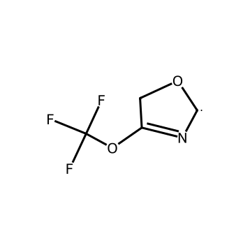 FC(F)(F)OC1=N[CH]OC1